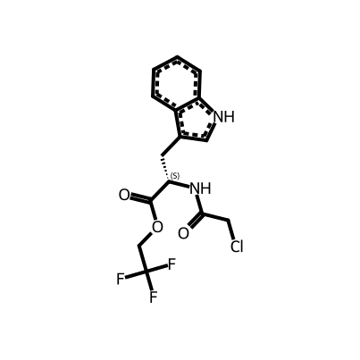 O=C(CCl)N[C@@H](Cc1c[nH]c2ccccc12)C(=O)OCC(F)(F)F